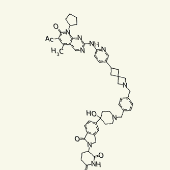 CC(=O)c1c(C)c2cnc(Nc3ccc(C4CC5(C4)CN(Cc4ccc(CN6CCC(O)(c7ccc8c(c7)CN(C7CCC(=O)NC7=O)C8=O)CC6)cc4)C5)cn3)nc2n(C2CCCC2)c1=O